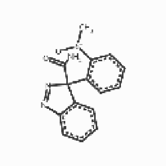 C[S+]([O-])c1ccccc1C1(C(N)=O)N=Nc2ccccc21